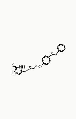 S=c1[nH]cc(CSCCOc2ccc(SCc3ccccc3)cc2)[nH]1